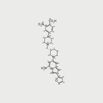 Nc1nc(N2CCC[C@@H](CN3CCN(c4ccc(C(=O)O)c([N+](=O)[O-])c4)CC3)C2)nc2nc(-c3ccco3)nn12